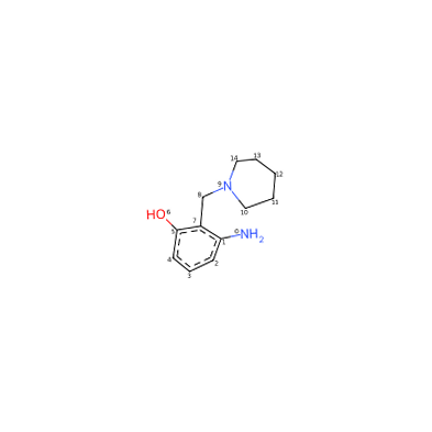 Nc1cccc(O)c1CN1CCCCC1